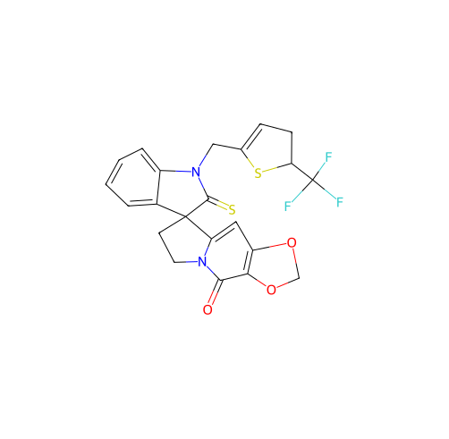 O=c1c2c(cc3n1CCC31C(=S)N(CC3=CCC(C(F)(F)F)S3)c3ccccc31)OCO2